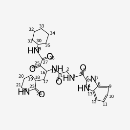 O=C(CNC(=O)c1nc2ccccc2[nH]1)NC(CC1CCCNC1=O)C(=O)C(=O)NC1CCCCC1